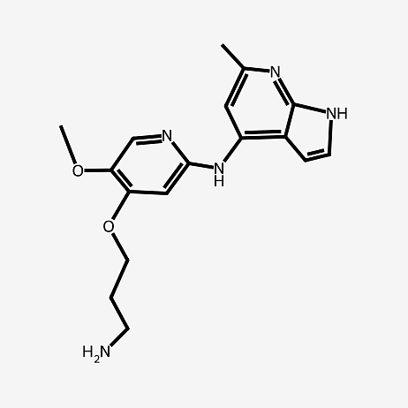 COc1cnc(Nc2cc(C)nc3[nH]ccc23)cc1OCCCN